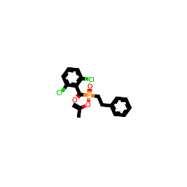 C=C(C)OP(=O)(CCc1ccccc1)C(=O)c1c(Cl)cccc1Cl